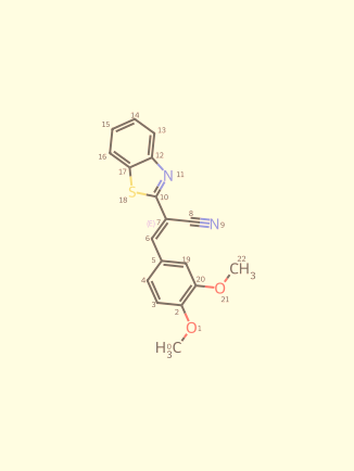 COc1ccc(/C=C(\C#N)c2nc3ccccc3s2)cc1OC